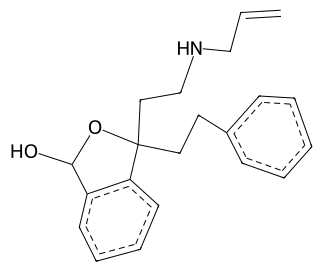 C=CCNCCC1(CCc2ccccc2)OC(O)c2ccccc21